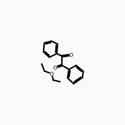 CCOCC.O=C(C(=O)c1ccccc1)c1ccccc1